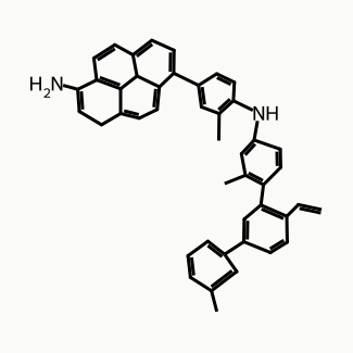 C=Cc1ccc(-c2cccc(C)c2)cc1-c1ccc(Nc2ccc(C3=CC=C4C=CC5=C6C(=CC=C3C46)CC=C5N)cc2C)cc1C